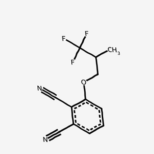 CC(COc1cccc(C#N)c1C#N)C(F)(F)F